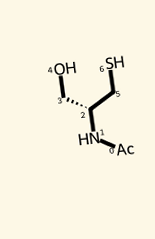 CC(=O)N[C@H](CO)CS